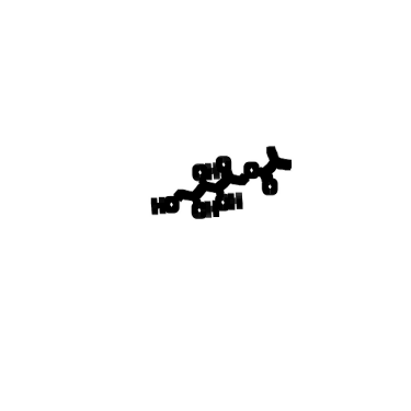 C=C(C)C(=O)OCC(=O)[C@@H](O)[C@H](O)[C@@H](O)CO